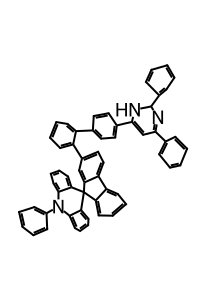 C1=C(c2ccc(-c3ccccc3-c3ccc4c(c3)C3(c5ccccc5-4)c4ccccc4N(c4ccccc4)c4ccccc43)cc2)NC(c2ccccc2)N=C1c1ccccc1